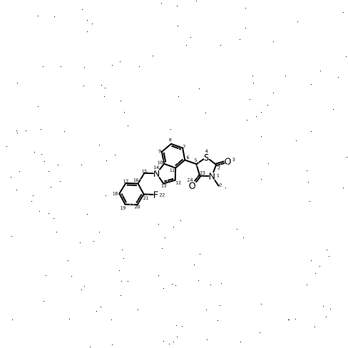 CN1C(=O)SC(c2cccc3c2ccn3Cc2ccccc2F)C1=O